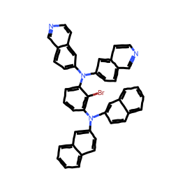 Brc1c(N(c2ccc3ccccc3c2)c2ccc3ccccc3c2)cccc1N(c1ccc2cnccc2c1)c1ccc2cnccc2c1